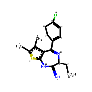 Cc1sc2c(c1C)C(C1=CC=C(Cl)CC1)=N[C@@H](CC(=O)O)C(=N)N2